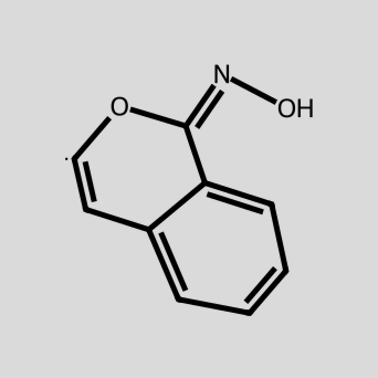 O/N=c1/o[c]cc2ccccc12